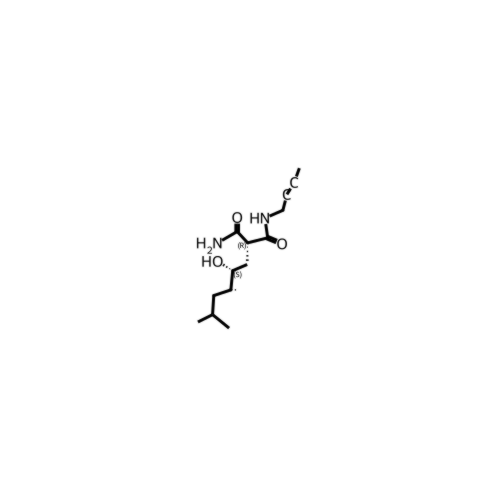 CCCCNC(=O)[C@H](C[C@@H](O)[CH]CC(C)C)C(N)=O